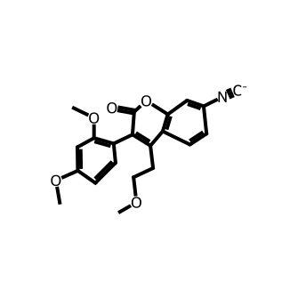 [C-]#[N+]c1ccc2c(CCOC)c(-c3ccc(OC)cc3OC)c(=O)oc2c1